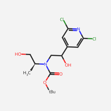 C[C@@H](CO)N(CC(O)c1cc(Cl)nc(Cl)c1)C(=O)OC(C)(C)C